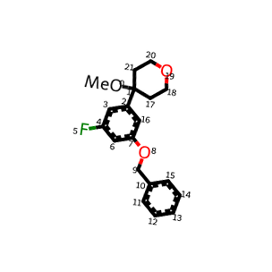 COC1(c2cc(F)cc(OCc3ccccc3)c2)CCOCC1